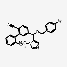 Cc1ccccc1-c1cc(C(OCc2ccc(Br)cc2)c2cncn2C)ccc1C#N